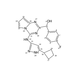 OC(c1ccc(F)cc1)c1nc(Nc2cc(C3CCC3)[nH]n2)n2cccc2n1